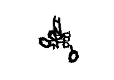 Cl.O=C(OCc1ccccc1)C1=Nc2ccccc2C12CCNCC2